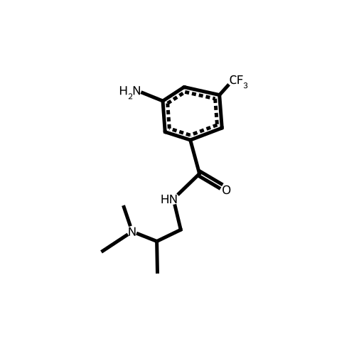 CC(CNC(=O)c1cc(N)cc(C(F)(F)F)c1)N(C)C